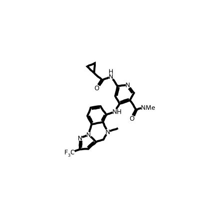 CNC(=O)c1cnc(NC(=O)C2CC2)cc1Nc1cccc2c1N(C)Cc1cc(C(F)(F)F)nn1-2